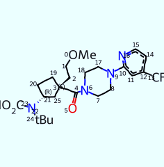 COCC[C@]1(C(=O)N2CCN(c3cc(C(F)(F)F)ccn3)CC2)CC[C@@H](N(C(=O)O)C(C)(C)C)C1